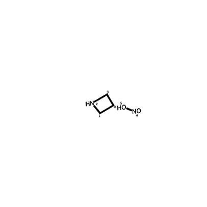 C1CNC1.O=NO